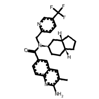 Cc1cc2cc(C(=O)N(Cc3ccc(C(F)(F)F)cn3)[C@@H]3CC[C@H]4CCC[C@H]4C3)ccc2nc1N